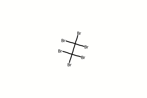 BrC(Br)(Br)C(Br)(Br)Br